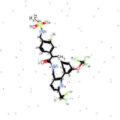 CC(C(=O)NCc1ccc(C(F)(F)F)nc1-c1cccc(OC(F)(F)F)c1)c1ccc(CNS(C)(=O)=O)c(F)c1